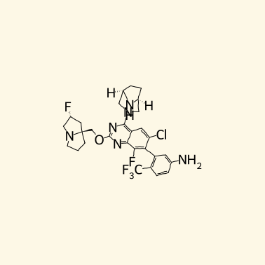 Nc1ccc(C(F)(F)F)c(-c2c(Cl)cc3c(N4C[C@H]5CC[C@@H](C4)N5)nc(OC[C@@]45CCCN4C[C@H](F)C5)nc3c2F)c1